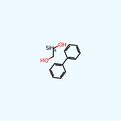 OCCO.[SiH4].c1ccc(-c2ccccc2)cc1